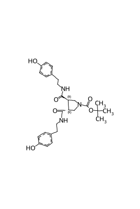 CC(C)(C)OC(=O)N1C[C@H](C(=O)NCCc2ccc(O)cc2)[C@@H](C(=O)NCCc2ccc(O)cc2)C1